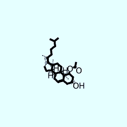 CC(=O)OC1C[C@H](O)CC2=CC[C@H]3[C@@H]4CC[C@H]([C@H](C)CCCC(C)C)[C@@]4(C)CC[C@@H]3[C@]21C